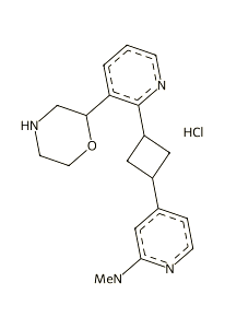 CNc1cc(C2CC(c3ncccc3C3CNCCO3)C2)ccn1.Cl